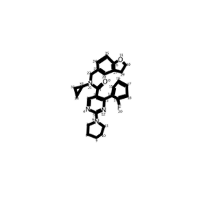 O=C(c1cnc(N2CCCCC2)nc1-c1ccccc1F)N(Cc1ccc2c(c1)CCO2)C1CC1